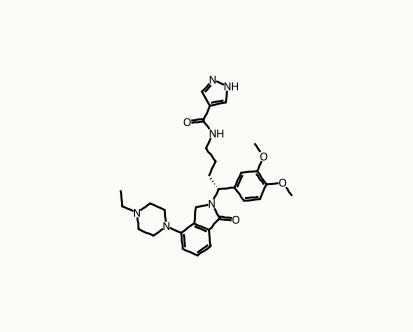 CCN1CCN(c2cccc3c2CN([C@H](CCCNC(=O)c2cn[nH]c2)c2ccc(OC)c(OC)c2)C3=O)CC1